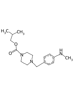 CNc1ccc(CN2CCN(C(=O)OCC(C)C)CC2)cc1